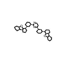 c1cc(-c2ccnc(-c3cccc(-c4cccc5c4oc4ccccc45)c3)n2)cc(-c2cccc3c2oc2ccccc23)c1